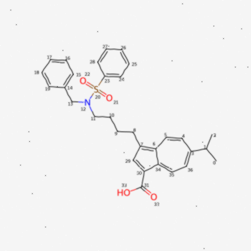 CC(C)c1ccc2c(CCCCN(Cc3ccccc3)S(=O)(=O)c3ccccc3)cc(C(=O)O)c-2cc1